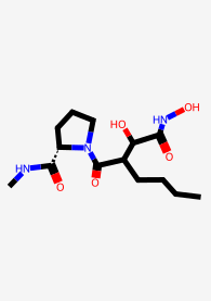 CCCCC(C(=O)N1CCC[C@H]1C(=O)NC)C(O)C(=O)NO